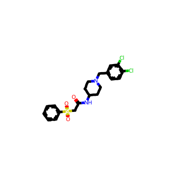 O=C(CS(=O)(=O)c1ccccc1)NC1CCN(Cc2ccc(Cl)c(Cl)c2)CC1